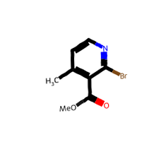 COC(=O)c1c(C)ccnc1Br